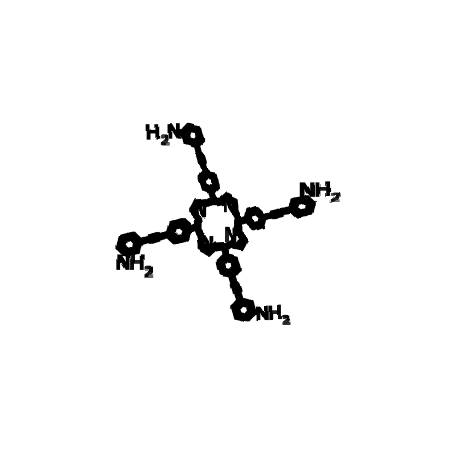 Nc1cccc(C#Cc2ccc(C3=C4C=CC(=N4)C(c4ccc(C#Cc5cccc(N)c5)cc4)=C4C=CC(=N4)C(c4ccc(C#Cc5cccc(N)c5)cc4)=C4C=CC(=N4)C(c4ccc(C#Cc5cccc(N)c5)cc4)=C4C=CC3=N4)cc2)c1